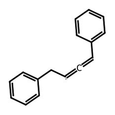 [C](=C=Cc1ccccc1)Cc1ccccc1